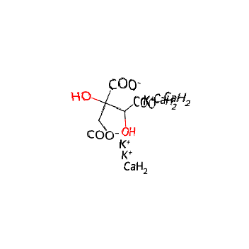 O=C([O-])CC(O)(C(=O)[O-])C(O)C(=O)[O-].[CaH2].[CaH2].[CaH2].[K+].[K+].[K+]